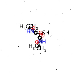 CC(=O)OC(c1ccc(NC(=O)C2CC2(C)C)cc1)c1ccc(NC(=O)C2CC2(C)C)cc1